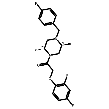 C[C@@H]1CN(Cc2ccc(F)cc2)[C@@H](C)CN1C(=O)COc1ccc(F)cc1F